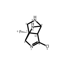 F[C@@]12CNC3NC1N=C(Cl)C32